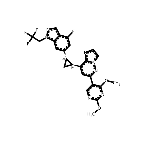 COc1ncc(-c2cc([C@H]3C[C@@H]3c3cc(F)c4cnn(CC(F)(F)F)c4c3)c3nccn3n2)c(OC)n1